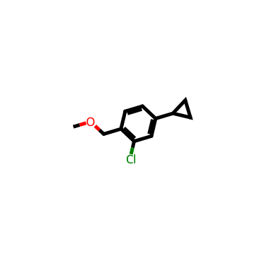 COCc1ccc(C2CC2)cc1Cl